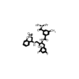 CCCN(CCC)C(=O)c1cc(C)cc(C(=O)NC(Cc2cc(F)cc(F)c2)C(O)CNC2CS(=O)(=O)Oc3ccccc32)c1